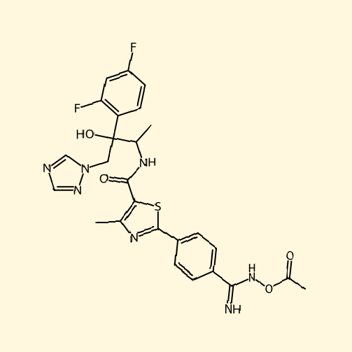 CC(=O)ONC(=N)c1ccc(-c2nc(C)c(C(=O)NC(C)C(O)(Cn3cncn3)c3ccc(F)cc3F)s2)cc1